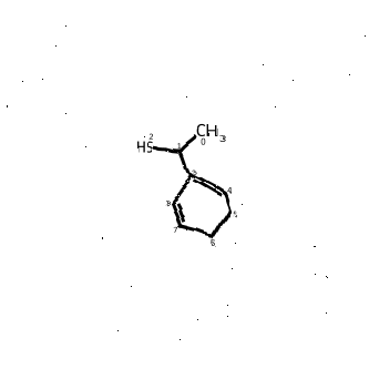 CC(S)C1=CCCC=C1